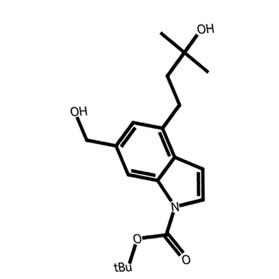 CC(C)(O)CCc1cc(CO)cc2c1ccn2C(=O)OC(C)(C)C